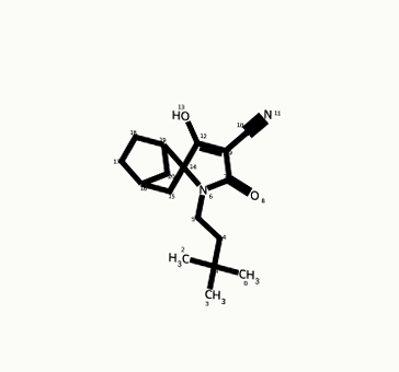 CC(C)(C)CCN1C(=O)C(C#N)=C(O)C12CC1CCC2C1